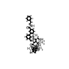 COc1c(CN2O[C@@H](CN)[C@@H]([C@H](C)O)[C@H]2C(=O)N[C@H]2C[C@H]3C[C@@H]([C@@H]2C)C3(C)C)cccc1-c1cccc(C(=O)NCCc2ccccc2)c1